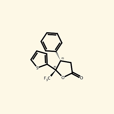 O=C1C[C@@H](c2ccccc2)[C@](c2cccs2)(C(F)(F)F)O1